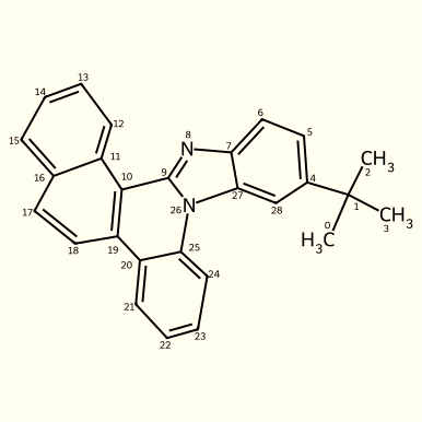 CC(C)(C)c1ccc2nc3c4c5ccccc5ccc4c4ccccc4n3c2c1